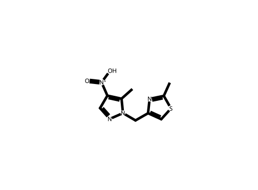 Cc1nc(Cn2ncc([N+](=O)O)c2C)cs1